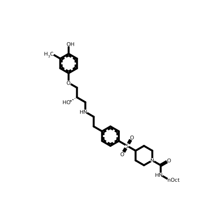 CCCCCCCCNC(=O)N1CCC(S(=O)(=O)c2ccc(CCNC[C@H](O)COc3ccc(O)c(C)c3)cc2)CC1